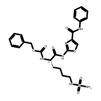 NS(=O)(=O)NCCCC[C@H](NC(=O)OCc1ccccc1)C(=O)Nc1nc(C(=O)Nc2ccccc2)cs1